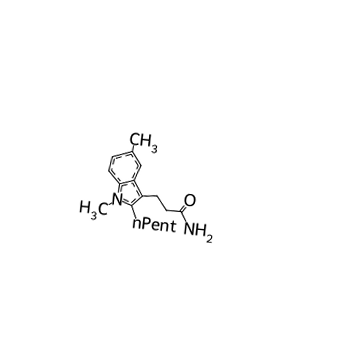 CCCCCc1c(CCC(N)=O)c2cc(C)ccc2n1C